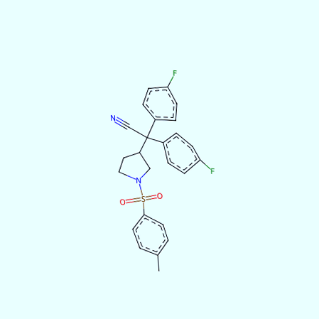 Cc1ccc(S(=O)(=O)N2CCC(C(C#N)(c3ccc(F)cc3)c3ccc(F)cc3)C2)cc1